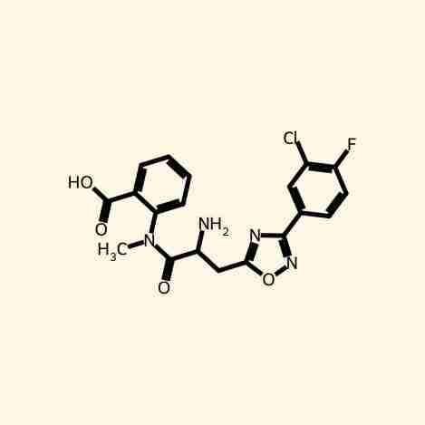 CN(C(=O)C(N)Cc1nc(-c2ccc(F)c(Cl)c2)no1)c1ccccc1C(=O)O